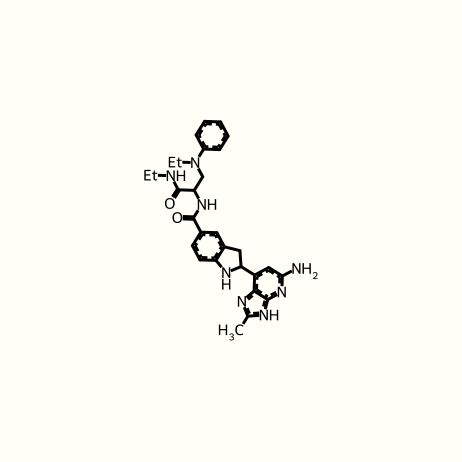 CCNC(=O)C(CN(CC)c1ccccc1)NC(=O)c1ccc2c(c1)CC(c1cc(N)nc3[nH]c(C)nc13)N2